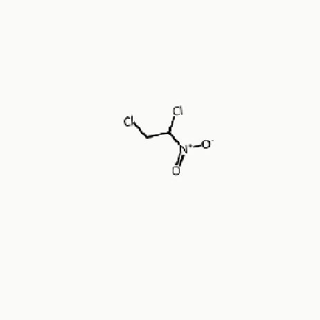 O=[N+]([O-])C(Cl)CCl